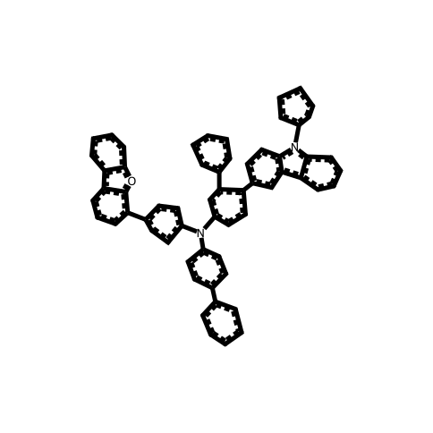 c1ccc(-c2ccc(N(c3ccc(-c4cccc5c4oc4ccccc45)cc3)c3ccc(-c4ccc5c(c4)c4ccccc4n5-c4ccccc4)c(-c4ccccc4)c3)cc2)cc1